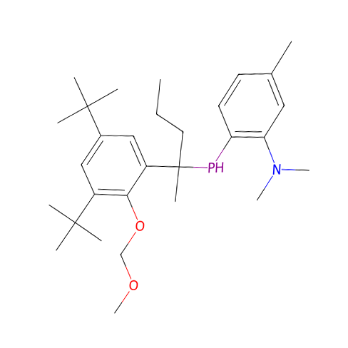 CCCC(C)(Pc1ccc(C)cc1N(C)C)c1cc(C(C)(C)C)cc(C(C)(C)C)c1OCOC